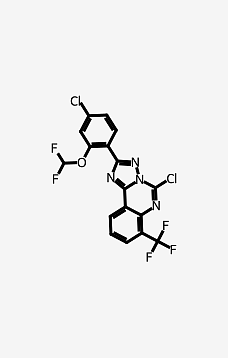 FC(F)Oc1cc(Cl)ccc1-c1nc2c3cccc(C(F)(F)F)c3nc(Cl)n2n1